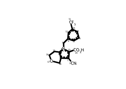 N#Cc1c2c(n(Cc3cccc(C(F)(F)F)c3)c1C(=O)O)CCOC2